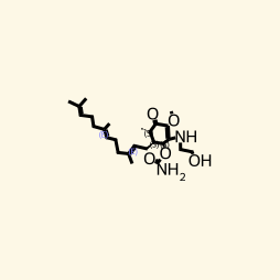 COC1=C(NCCO)[C@@H](OC(N)=O)[C@@H](C/C=C(\C)CC/C=C(\C)CCC=C(C)C)[C@H](C)C1=O